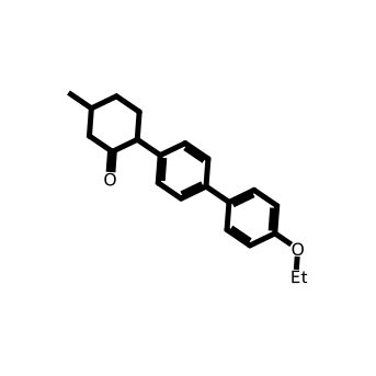 CCOc1ccc(-c2ccc(C3CCC(C)CC3=O)cc2)cc1